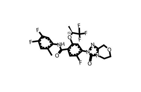 Cc1cc(F)c(F)cc1NC(=O)c1cc(F)c(-n2nc3n(c2=O)CCOC3)cc1O[C@@H](C)C(F)(F)F